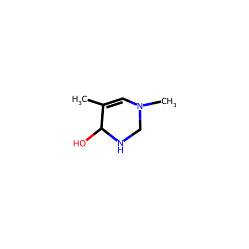 CC1=CN(C)CNC1O